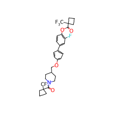 O=C(Oc1ccc(-c2ccc(OCC3CCN(C(=O)C4(C(F)(F)F)CCC4)CC3)cc2)cc1F)C1(C(F)(F)F)CCC1